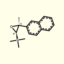 C[C@@]1(c2ccc3ccccc3c2)O[C@@H]1[Si](C)(C)C